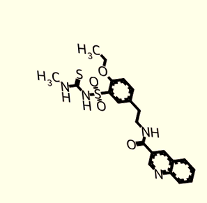 CCOc1ccc(CCNC(=O)c2cnc3ccccc3c2)cc1S(=O)(=O)NC(=S)NC